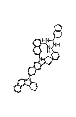 C1=CCCC(C2NC(C3=CC4=C(C=CC4)CC3)NC(c3cccc4ccc(-n5c6c(c7cc8cc(-n9c%10c(c%11c%12ccccc%12ccc%119)CCC=C%10)ccc8cc75)C=CCC6)cc34)N2)=C1